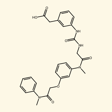 CN(C(=O)CNC(=O)Nc1cccc(CC(=O)O)c1)c1cccc(OCC(=O)N(C)c2ccccc2)c1